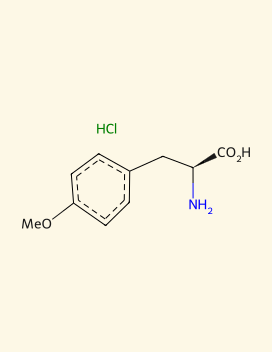 COc1ccc(C[C@H](N)C(=O)O)cc1.Cl